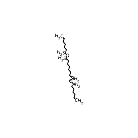 C=CCCCC[SiH2]O[SiH2]CCCCCC[SiH2]O[SiH2]CCCCC=C